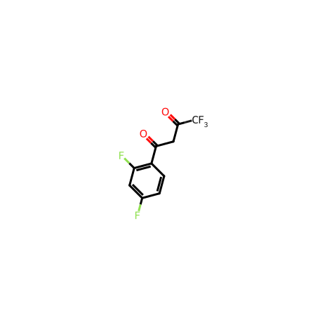 O=C(CC(=O)C(F)(F)F)c1ccc(F)cc1F